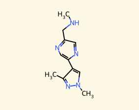 CNCc1cnc(-c2cn(C)nc2C)cn1